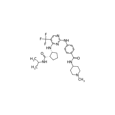 CC(C)NC(=O)[C@H]1CCC[C@H]1Nc1nc(Nc2ccc(C(=O)NC3CCN(C)CC3)cc2)ncc1C(F)(F)F